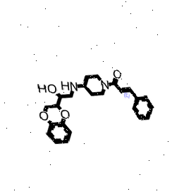 O=C(/C=C/c1ccccc1)N1CCC(NCC(O)C2COc3ccccc3O2)CC1